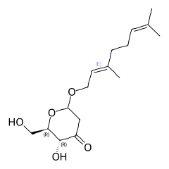 CC(C)=CCC/C(C)=C/COC1CC(=O)[C@H](O)[C@@H](CO)O1